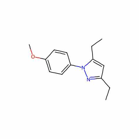 CCc1cc(CC)n(-c2ccc(OC)cc2)n1